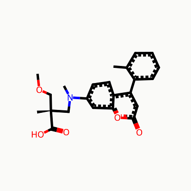 COC[C@](C)(CN(C)c1ccc2c(-c3ccccc3C)cc(=O)oc2c1)C(=O)O